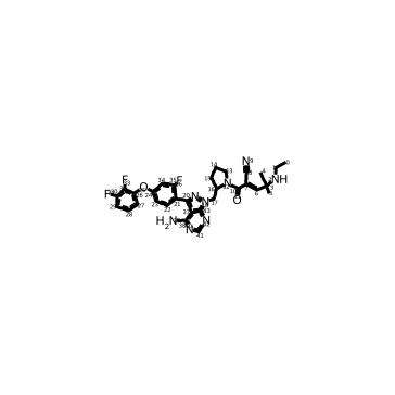 CCNC(C)(C)C=C(C#N)C(=O)N1CCCC1Cn1nc(-c2ccc(Oc3cccc(F)c3F)cc2F)c2c(N)ncnc21